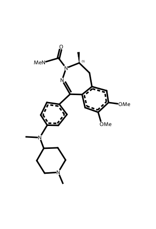 CNC(=O)N1N=C(c2ccc(N(C)C3CCN(C)CC3)cc2)c2cc(OC)c(OC)cc2C[C@@H]1C